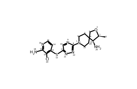 C[C@@H]1OCC2(CCN(c3ncc(Sc4ccnc(N)c4Cl)nn3)CC2)[C@@H]1N